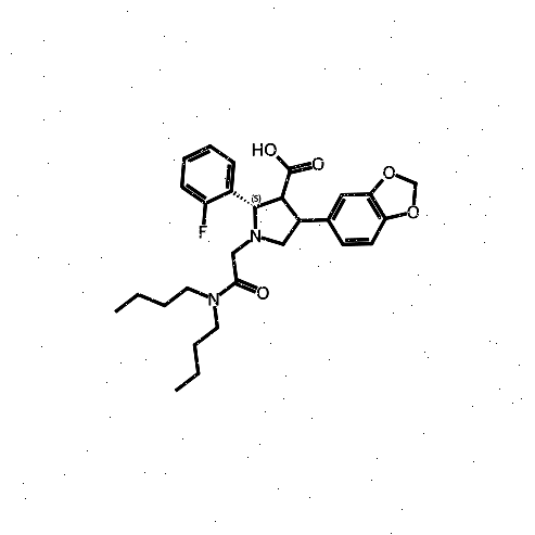 CCCCN(CCCC)C(=O)CN1CC(c2ccc3c(c2)OCO3)C(C(=O)O)[C@H]1c1ccccc1F